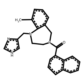 Cc1cccc2c1N(Cc1c[nH]cn1)CCN(C(=O)c1cccc3ccccc13)C2